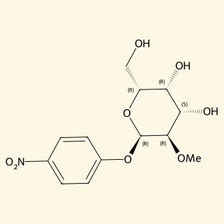 CO[C@H]1[C@@H](Oc2ccc([N+](=O)[O-])cc2)O[C@H](CO)[C@H](O)[C@@H]1O